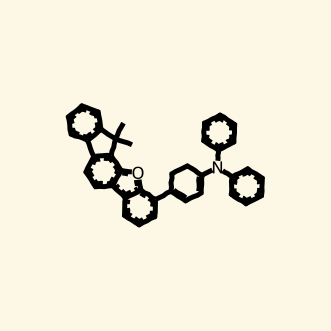 CC1(C)c2ccccc2-c2ccc3c(oc4c(C5=CC=C(N(c6ccccc6)c6ccccc6)CC5)cccc43)c21